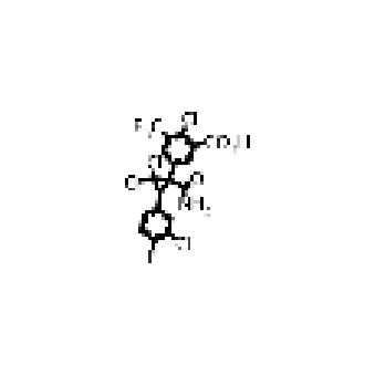 NC(=O)C1(c2cc(C(=O)O)c(Cl)c(C(F)(F)F)c2)C(c2ccc(F)c(Cl)c2)C1(Cl)Cl